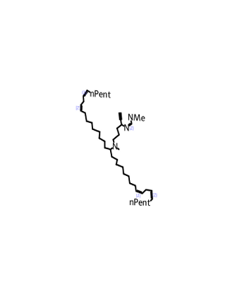 C#CC(CCCN(C)C(CCCCCCCC/C=C\C/C=C\CCCCC)CCCCCCCC/C=C\C/C=C\CCCCC)/N=C\NC